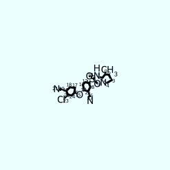 Cc1cccnc1NS(=O)(=O)c1ccc(Oc2ccc(C#N)c(Cl)c2)c(C#N)c1